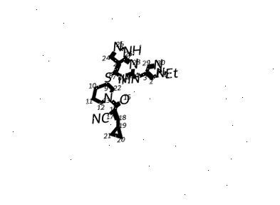 CCn1cc(Nc2nc(SC3CCCN(C(=O)/C(C#N)=C/C4CC4)C3)c3cn[nH]c3n2)cn1